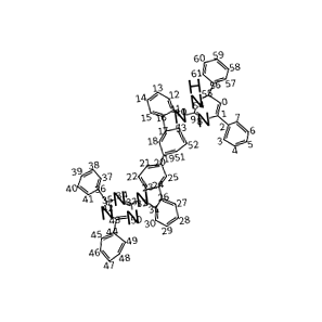 C1=C(c2ccccc2)N=C(n2c3ccccc3c3cc(-c4ccc5c(c4)c4ccccc4n5-c4nc(-c5ccccc5)nc(-c5ccccc5)n4)ccc32)NC1c1ccccc1